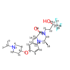 CC(C)N1CCC(Oc2ccc3c(c2)cc2n3[C@H](C)CN(CC[C@@H](O)C(F)(F)F)C2=O)CC1